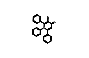 O=c1cc(-c2ccccc2)n(-c2ccccc2)c(-c2ccccc2)c1Br